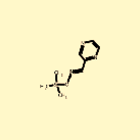 C[Si](C)(C)O/N=C/c1cnccn1